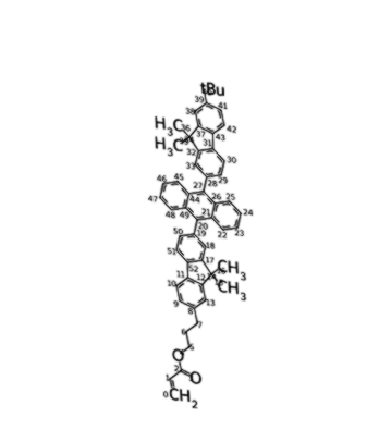 C=CC(=O)OCCCc1ccc2c(c1)C(C)(C)c1cc(-c3c4ccccc4c(-c4ccc5c(c4)C(C)(C)c4cc(C(C)(C)C)ccc4-5)c4ccccc34)ccc1-2